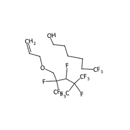 C=CCOCC(F)(C(F)C(F)(C(F)(F)F)C(F)(F)F)C(F)(F)F.OCCCCCC(F)(F)F